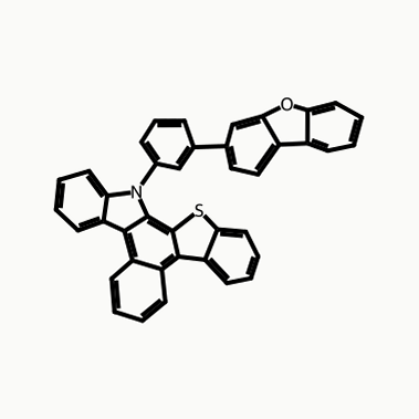 c1cc(-c2ccc3c(c2)oc2ccccc23)cc(-n2c3ccccc3c3c4ccccc4c4c5ccccc5sc4c32)c1